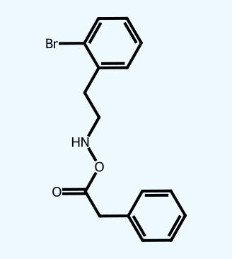 O=C(Cc1ccccc1)ONCCc1ccccc1Br